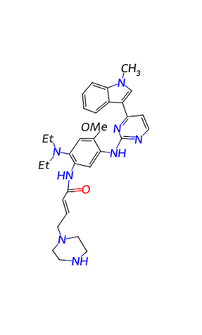 CCN(CC)c1cc(OC)c(Nc2nccc(-c3cn(C)c4ccccc34)n2)cc1NC(=O)/C=C/CN1CCNCC1